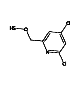 SOCc1cc(Cl)cc(Cl)n1